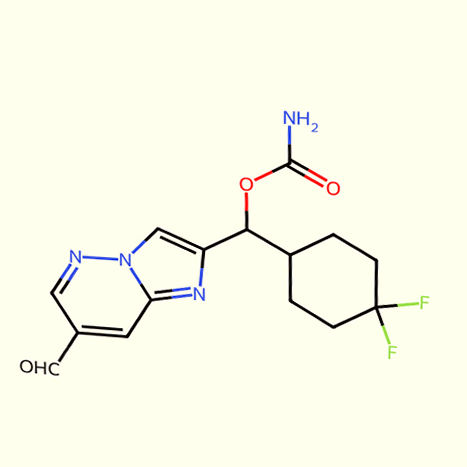 NC(=O)OC(c1cn2ncc(C=O)cc2n1)C1CCC(F)(F)CC1